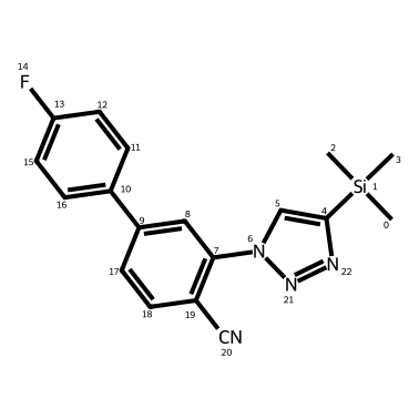 C[Si](C)(C)c1cn(-c2cc(-c3ccc(F)cc3)ccc2C#N)nn1